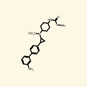 CC(C)(C)OC(=O)NC1CCC(N(C(=O)O)C2CC2c2ccc(-c3cccc(N)c3)cc2)CC1